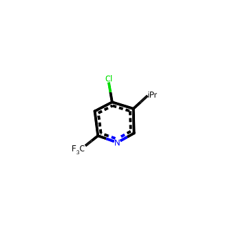 CC(C)c1cnc(C(F)(F)F)cc1Cl